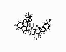 COc1ccc2cc(C(=O)N3CCN(C(=O)[C@@H](NC(=O)OC(C)(C)C)C4CCCCC4)C[C@@H]3C)n(C)c2c1